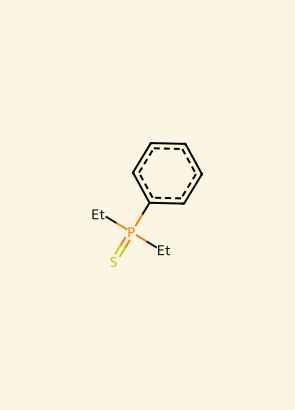 CCP(=S)(CC)c1ccccc1